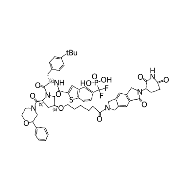 CC(C)(C)c1ccc(C[C@H](NC(=O)c2cc3cc(C(F)(F)P(=O)(O)O)ccc3s2)C(=O)N2C[C@@H](OCCCCCC(=O)N3Cc4cc5c(cc4C3)C(=O)N(C3CCC(=O)NC3=O)C5)C[C@H]2C(=O)N2CCOC(c3ccccc3)C2)cc1